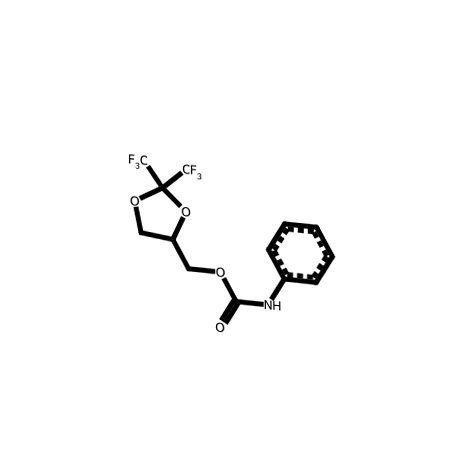 O=C(Nc1ccccc1)OCC1COC(C(F)(F)F)(C(F)(F)F)O1